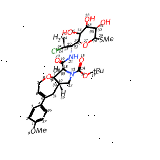 COc1ccc(C2=CCO[C@@H]3[C@@H](C2)CN(C(=O)OC(C)(C)C)[C@@H]3C(=O)N[C@H]([C@H](C)Cl)[C@H]2OC(SC)[C@H](O)C(O)C2O)cc1